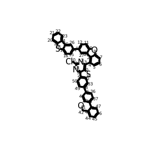 Clc1nc(-c2cccc3oc4ccc(-c5ccc6sc7ccccc7c6c5)cc4c23)c2sc3cc(-c4ccc5c(c4)OCc4ccccc4-5)ccc3c2n1